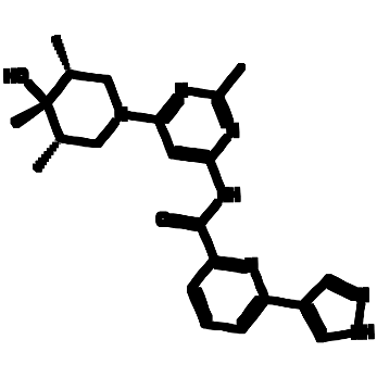 Cc1nc(NC(=O)c2cccc(-c3cn[nH]c3)n2)cc(N2C[C@@H](C)[C@@](C)(O)[C@@H](C)C2)n1